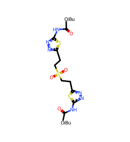 CC(C)COC(=O)Nc1nnc(CCS(=O)(=O)CCc2nnc(NC(=O)OCC(C)C)s2)s1